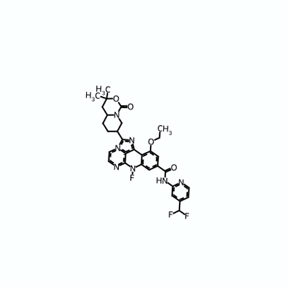 CCOc1cc(C(=O)Nc2cc(C(F)F)ccn2)cc2c1-c1nc(C3CCC4CC(C)(C)OC(=O)N4C3)n3ccnc(c13)N2F